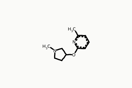 Cc1cccc(OC2CCN(C)C2)n1